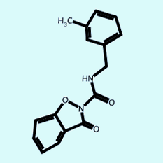 Cc1cccc(CNC(=O)n2oc3ccccc3c2=O)c1